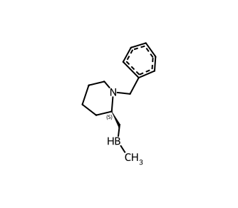 CBC[C@H]1CCCCN1Cc1ccccc1